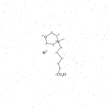 CCOC(=O)CCCCC[N+]1(C)CCOCC1.[Br-]